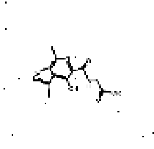 Cc1nc(C(=O)NCC(=O)O)c(O)c2c(C)noc12